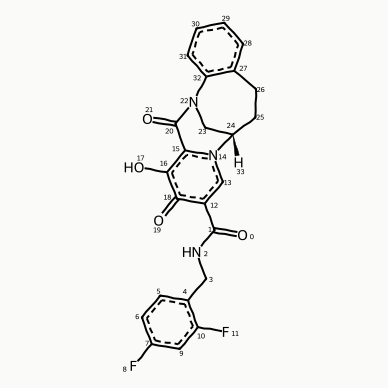 O=C(NCc1ccc(F)cc1F)c1cn2c(c(O)c1=O)C(=O)N1C[C@@H]2CCc2ccccc21